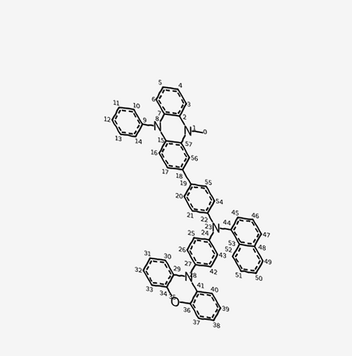 CN1c2ccccc2N(c2ccccc2)c2ccc(-c3ccc(N(c4ccc(N5c6ccccc6Oc6ccccc65)cc4)c4cccc5ccccc45)cc3)cc21